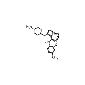 Cc1ccc(Nc2ncnn3ccc(CN4CCC(N)CC4)c23)c(Cl)c1